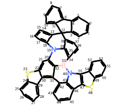 c1ccc2c(c1)-c1ccccc1C21c2ccccc2N2c3cc4sc5ccccc5c4c4c3B(c3cccc1c32)n1c2c-4cccc2c2sc3ccccc3c21